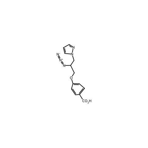 [N-]=[N+]=NC(COc1ccc(C(=O)O)cc1)Cn1cccn1